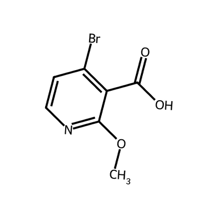 COc1nccc(Br)c1C(=O)O